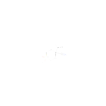 CC(C)C1(C#N)CCS(=O)(=O)CC1